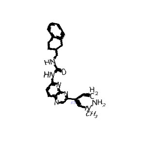 C=C/C(=C\N(C)N)c1cnc2ccc(NC(=O)NCC3CCc4ccccc4C3)nc2n1